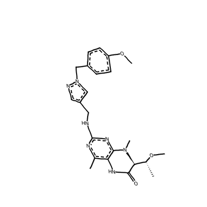 COc1ccc(Cn2cc(CNc3nc(C)c4c(n3)N(C)[C@@H]([C@@H](C)OC)C(=O)N4)cn2)cc1